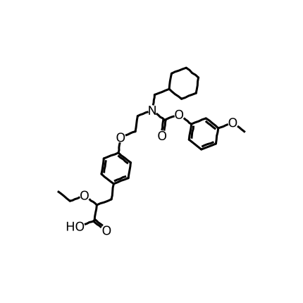 CCOC(Cc1ccc(OCCN(CC2CCCCC2)C(=O)Oc2cccc(OC)c2)cc1)C(=O)O